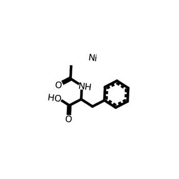 CC(=O)NC(Cc1ccccc1)C(=O)O.[Ni]